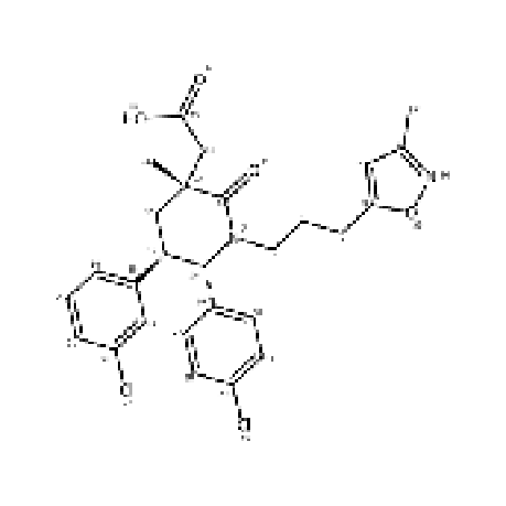 Cc1cc(CCCN2C(=O)[C@@](C)(CC(=O)O)C[C@H](c3cccc(Cl)c3)[C@H]2c2ccc(Cl)cc2)on1